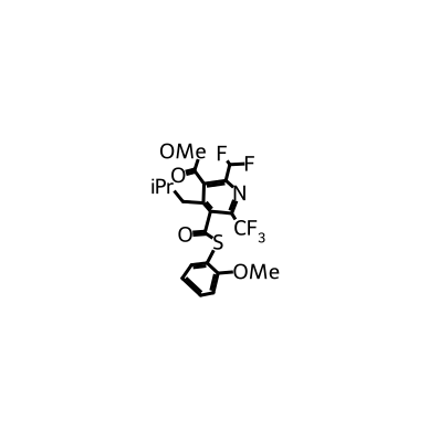 COC(=O)c1c(C(F)F)nc(C(F)(F)F)c(C(=O)Sc2ccccc2OC)c1CC(C)C